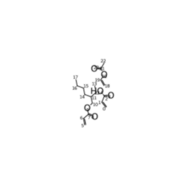 C=CC(=O)O.C=CC(=O)OCC(CC)CCCC.C=COC(C)=O